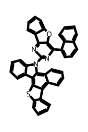 c1ccc2c(-c3nc(-n4c5ccccc5c5c6sc7ccccc7c6c6ccccc6c54)nc4c3oc3ccccc34)cccc2c1